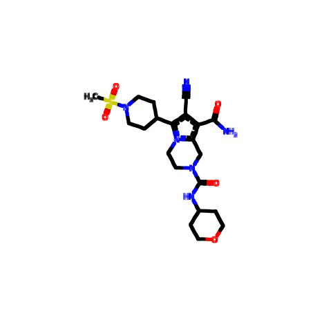 CS(=O)(=O)N1CCC(c2c(C#N)c(C(N)=O)c3n2CCN(C(=O)NC2CCOCC2)C3)CC1